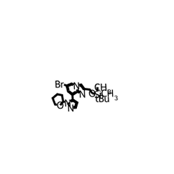 CC(C)(C)[Si](C)(C)OCc1cn2cc(Br)cc(-c3ccnn3C3CCCCO3)c2n1